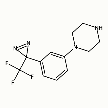 FC(F)(F)C1(c2cccc(N3CCNCC3)c2)N=N1